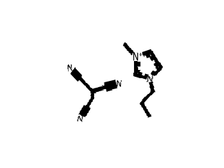 CCCn1cc[n+](C)c1.N#CC(C#N)C#N